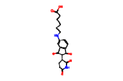 O=C(O)CCCCCNc1ccc2c(c1)C(=O)C(C1CCC(=O)NC1=O)C2=O